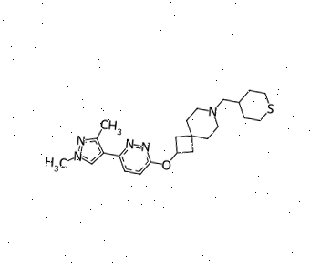 Cc1nn(C)cc1-c1ccc(OC2CC3(CCN(CC4CCSCC4)CC3)C2)nn1